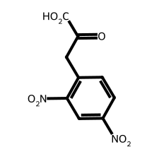 O=C(O)C(=O)Cc1ccc([N+](=O)[O-])cc1[N+](=O)[O-]